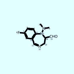 CN(C)N1c2ccc(F)cc2C=NCC1C=O